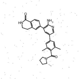 Cc1cc(-c2cnc(N)c(-c3ccc4c(c3)CCNC4=O)c2)cc(C)c1C(=O)N1CCC[C@H]1C